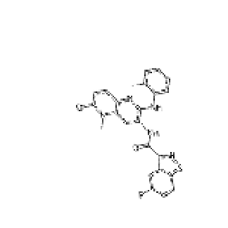 Cc1ccccc1Nc1nc2ccc(=O)n(C)c2cc1NC(=O)c1nsc2ccc(F)cc12